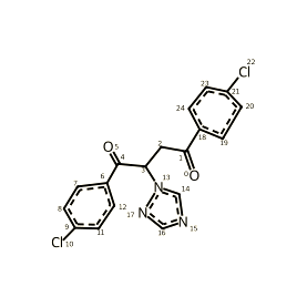 O=C(CC(C(=O)c1ccc(Cl)cc1)n1cncn1)c1ccc(Cl)cc1